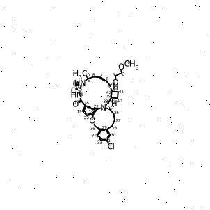 COCCO[C@H]1/C=C\C[C@H](C)NS(=O)(=O)NC(=O)c2ccc3c(c2)N(CCCCc2cc(Cl)ccc2CO3)C[C@@H]2CC[C@H]21